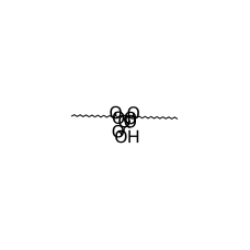 CCCCCCCCCCCCCCCC(=O)OCC(COC(=O)CCCCCCCCCCCCCCC)OC(=O)C(C)CCC(=O)O